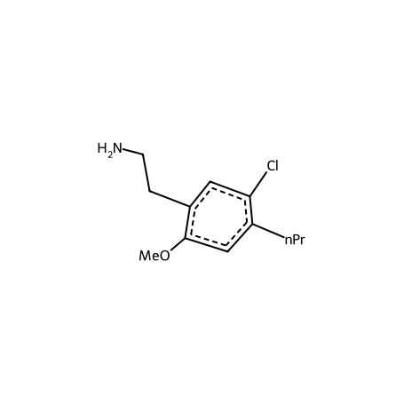 CCCc1cc(OC)c(CCN)cc1Cl